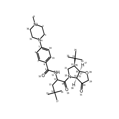 CN1CCN(c2ccc(C(=O)NC(CC(C)(C)C)C(=O)N3C[C@@H](C(C)(C)C)[C@H]4OCC(=O)[C@H]43)cc2)CC1